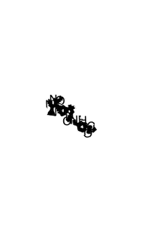 CCS(=O)(=O)c1ccc(CNC(=O)N2CC(C)(C)c3cc(-c4c(OC)ncnc4C4CC4)ncc32)cc1